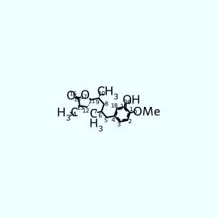 COc1ccc(CC(C)C[C@@H](C)[C@@H]2C[C@@H](C)C(=O)O2)cc1O